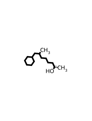 CC(CCCC[C@H](C)O)CC1CCCCC1